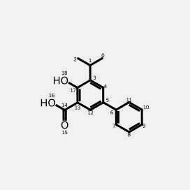 CC(C)c1cc(-c2ccccc2)cc(C(=O)O)c1O